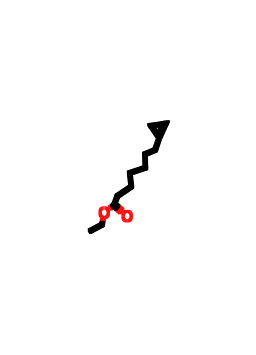 CCOC(=O)CCCCCCC1=CC1